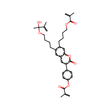 C=C(C)C(=O)OCCCCc1cc2oc(=O)c(-c3ccc(OC(=O)C(=C)C)cc3)cc2cc1CCCCOC(C)(O)C(=C)C